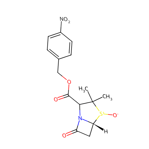 CC1(C)C(C(=O)OCc2ccc([N+](=O)[O-])cc2)N2C(=O)C[C@H]2[S+]1[O-]